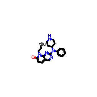 CC(C)(C)CCn1c(=O)ccc2cnc(N(c3ccccc3)C3CCNCC3)nc21